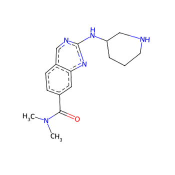 CN(C)C(=O)c1ccc2cnc(NC3CCCNC3)nc2c1